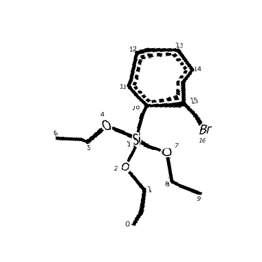 CCO[Si](OCC)(OCC)c1ccccc1Br